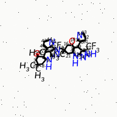 CC1(C)CC(=O)C2=C(C1)Nc1nn(CC3(C)CC(=O)C4=C(C3)Nc3n[nH]c(C(F)(F)F)c3C4c3cccnc3)c(C(F)(F)F)c1C2(C)c1cccnc1